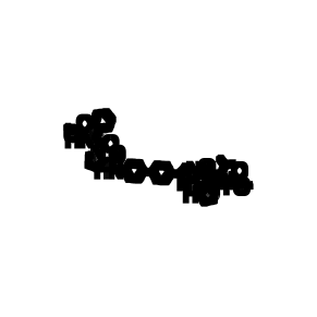 COC(=O)N[C@H](C(=O)N1[C@@H]2CC[C@@H](C2)[C@H]1c1nc(-c2ccc(-c3ccc(NC(=O)[C@@H]4CCCN4C(=O)[C@H](NC(=O)OC)c4ccccc4)cc3)cc2)c[nH]1)C(C)C